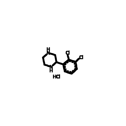 Cl.Clc1cccc(C2CNCCN2)c1Cl